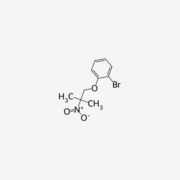 CC(C)(COc1ccccc1Br)[N+](=O)[O-]